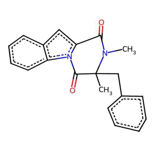 CN1C(=O)c2cc3ccccc3n2C(=O)C1(C)Cc1ccccc1